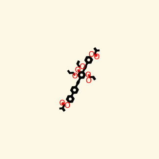 C=CC(=O)Oc1cc(C#Cc2ccc(-c3ccc(OC(=O)C(=C)C)cc3)cc2)c(OCCC)c(OC(=O)C=C)c1C#Cc1ccc(OC(=O)C(=C)C)cc1